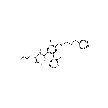 CSCC[C@H](NC(=O)c1ccc(COCCCc2ccccc2)cc1-c1ccccc1C)C(=O)O.[LiH]